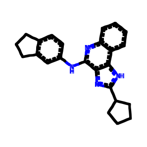 c1ccc2c(c1)nc(Nc1ccc3c(c1)CCC3)c1nc(C3CCCC3)[nH]c12